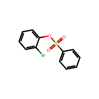 O=S(=O)(Oc1ccccc1Br)c1ccccc1